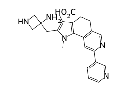 Cn1c(CC2(N)CNC2)c(C(=O)O)c2c1-c1cc(-c3cccnc3)ncc1CC2